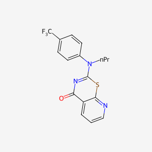 CCCN(c1ccc(C(F)(F)F)cc1)c1nc(=O)c2cccnc2s1